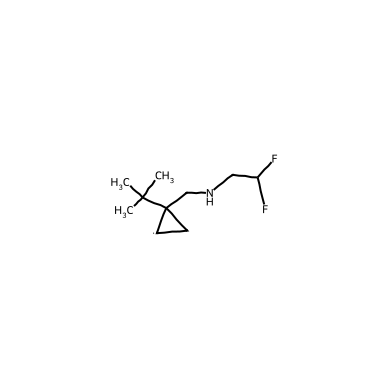 CC(C)(C)C1(CNCC(F)F)[CH]C1